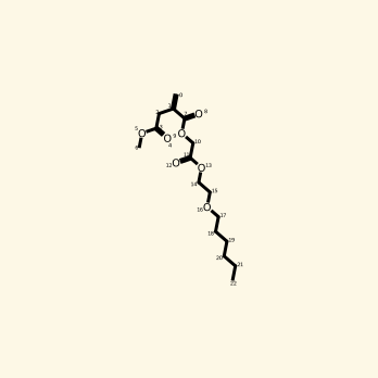 C=C(CC(=O)OC)C(=O)OCC(=O)OCCOCCCCCC